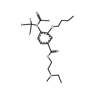 CCCCOc1cc(C(=O)OCCN(C)CC)ccc1N(C(=O)F)C(F)(F)F